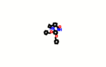 O=C1Nc2cc(OCc3ccccc3)cc(OCc3ccccc3)c2Nc2c1cccc2C1CCC1